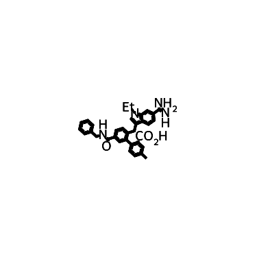 CCn1cc(Cc2ccc(C(=O)NCc3ccccc3)cc2-c2ccc(C)cc2C(=O)O)c2ccc(C(=N)N)cc21